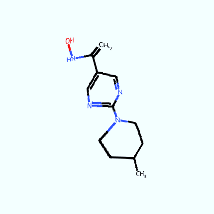 C=C(NO)c1cnc(N2CCC(C)CC2)nc1